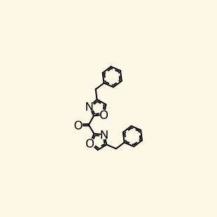 O=C(c1nc(Cc2ccccc2)co1)c1nc(Cc2ccccc2)co1